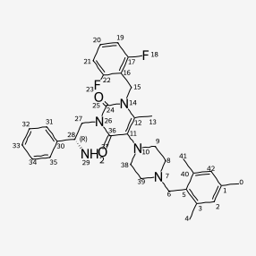 Cc1cc(C)c(CN2CCN(c3c(C)n(Cc4c(F)cccc4F)c(=O)n(C[C@H](N)c4ccccc4)c3=O)CC2)c(C)c1